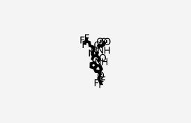 CS(=O)(=O)CC(=O)Nc1c2c(nn1CCCC(F)(F)F)C[C@@]1(CCc3cc(OCC(F)(F)F)ccc31)NC2=O